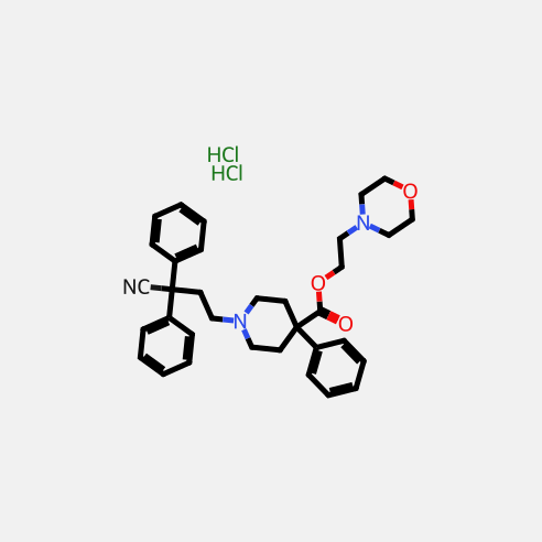 Cl.Cl.N#CC(CCN1CCC(C(=O)OCCN2CCOCC2)(c2ccccc2)CC1)(c1ccccc1)c1ccccc1